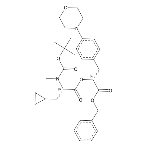 CN(C(=O)OC(C)(C)C)[C@@H](CC1CC1)C(=O)O[C@H](Cc1ccc(N2CCOCC2)cc1)C(=O)OCc1ccccc1